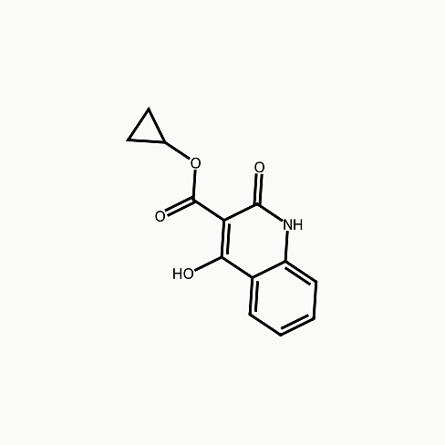 O=C(OC1CC1)c1c(O)c2ccccc2[nH]c1=O